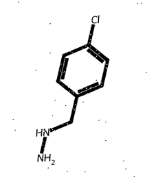 NNCc1ccc(Cl)cc1